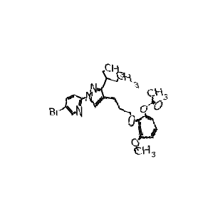 CCC(CC)c1nn(-c2ccc(Br)cn2)cc1CCCOc1c(OC)cccc1OC(C)=O